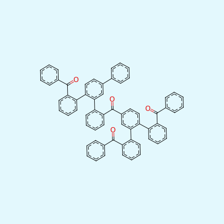 O=C(c1ccccc1)c1ccccc1-c1ccc(C(=O)c2ccccc2-c2cc(-c3ccccc3)ccc2-c2ccccc2C(=O)c2ccccc2)cc1-c1ccccc1C(=O)c1ccccc1